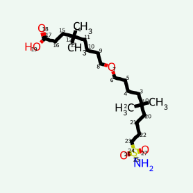 CC(C)(CCCCOCCCCC(C)(C)CCC(=O)O)CCCCS(N)(=O)=O